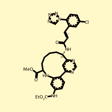 CCOC(=O)Nc1ccc2c(c1)NC(C(=O)OC)CCCC[C@H](NC(=O)/C=C/c1cc(Cl)ccc1-n1cnnn1)c1cc-2ncn1